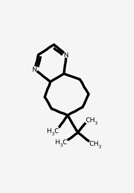 CC(C)(C)C1(C)CCCC2N=CC=NC2CC1